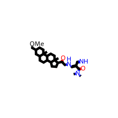 COCC1CCC2(C)C(CCC3C2CCC2(C)C(C(=O)CN/C=C(\C=N)C(=O)N(C)C)CCC32)C1